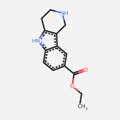 CCOC(=O)c1ccc2[nH]c3c(c2c1)CNCC3